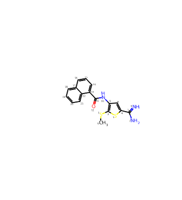 CSc1sc(C(=N)N)cc1NC(=O)c1cccc2ccccc12